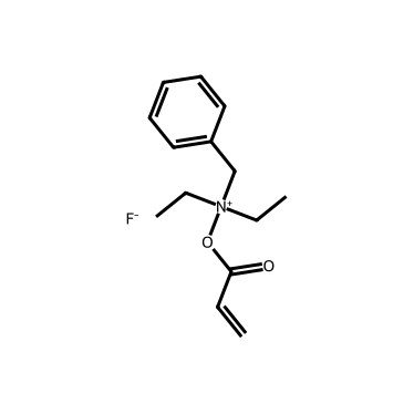 C=CC(=O)O[N+](CC)(CC)Cc1ccccc1.[F-]